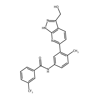 Cc1ccc(NC(=O)c2cccc(C(F)(F)F)c2)cc1-c1ccc2c(CO)n[nH]c2n1